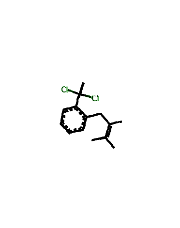 CC(C)=C(C)Cc1ccccc1C(C)(Cl)Cl